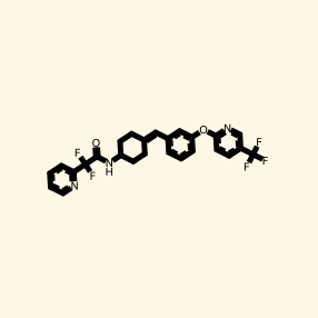 O=C(NC1CCC(=Cc2cccc(Oc3ccc(C(F)(F)F)cn3)c2)CC1)C(F)(F)c1ccccn1